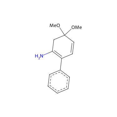 COC1(OC)C=CC(c2ccccc2)=C(N)C1